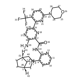 CC1[C@@H]2CC[C@H]1CN(c1cccnc1NC(=O)c1nc(-c3nc(N4CCOCC4)ccc3C(F)(F)F)cnc1N)C2